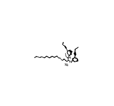 CCC#Cc1cccc(N=C(C=CCCCCCCCCCCCCC)C(CC)=Nc2cccc(C#CCC)c2)c1.[Ni]